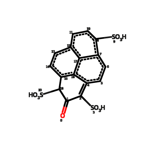 O=C1C(S(=O)(=O)O)=c2ccc3c(S(=O)(=O)O)ccc4ccc(c2c43)C1S(=O)(=O)O